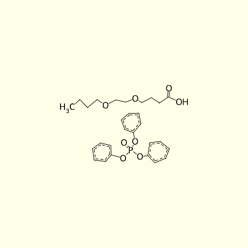 CCCCOCCOCCCC(=O)O.O=P(Oc1ccccc1)(Oc1ccccc1)Oc1ccccc1